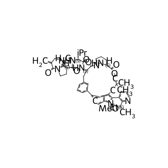 C=C1CN[C@H]2[C@@H](C(=O)N(C)[C@H](C(=O)N[C@H]3Cc4cccc(c4)-c4ccc5c(c4)c(c(-c4cccnc4[C@H](C)OC)n5CC)CC(C)(C)COC(=O)[C@@H]4CCCN(N4)C3=O)C(C)C)CCN2C1=O